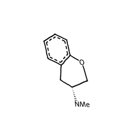 CN[C@H]1COc2ccccc2C1